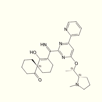 C[C@H](Oc1cc(-c2ccccn2)nc(C(=N)C2=C(O)[C@]3(CCCCC3=O)CCC2)n1)[C@@H]1CCCN1C